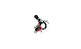 CN1C/C=C/CCCCCC[C@@H](B2OC3C[C@H]4C[C@H](C4(C)C)[C@@]3(C)O2)NC(=O)[C@@H]2C[C@@H](OC(=O)N3Cc4ccccc4C3)CN2C1=O